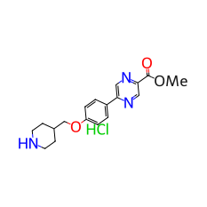 COC(=O)c1cnc(-c2ccc(OCC3CCNCC3)cc2)cn1.Cl